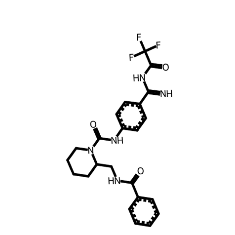 N=C(NC(=O)C(F)(F)F)c1ccc(NC(=O)N2CCCCC2CNC(=O)c2ccccc2)cc1